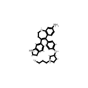 Nc1ccc2c(c1)OCCC(c1ccc3c(c1)NCC3)=C2c1ccc(OC2CCN(CCCF)C2)cc1